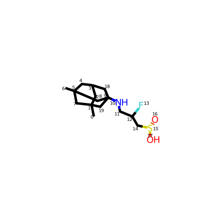 CC12CC3CC(C)(C1)CC(NCC(F)CS(=O)O)(C3)C2